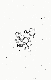 C.C=CC(C(=O)O)c1cc(C(C)(C)C)c(O)c(C(C)(C)C)c1